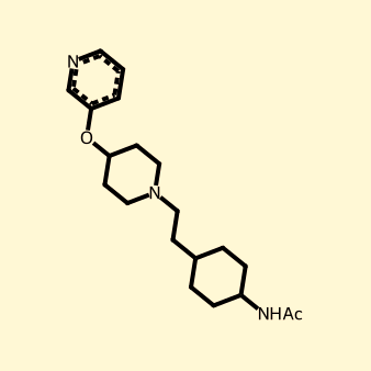 CC(=O)NC1CCC(CCN2CCC(Oc3cccnc3)CC2)CC1